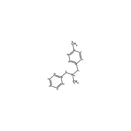 Cc1ccc(CN(C)Cc2ccccc2)cc1